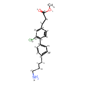 COC(=O)CCc1ccc(-c2ccc(CCCCN)cc2)c(Cl)c1